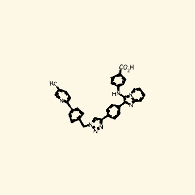 N#Cc1ccc(-c2ccc(Cn3cc(-c4ccc(-c5nc6ccccn6c5Nc5ccc(C(=O)O)cc5)cc4)nn3)cc2)nc1